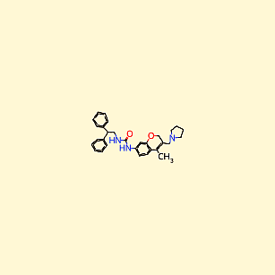 CC1=C(CN2CCCC2)COc2cc(NC(=O)NCC(c3ccccc3)c3ccccc3)ccc21